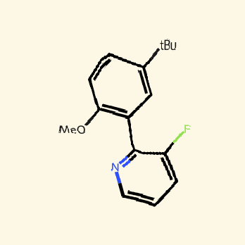 COc1ccc(C(C)(C)C)cc1-c1ncccc1F